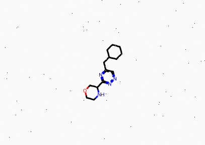 c1nnc(C2COCCN2)nc1CC1CCCCC1